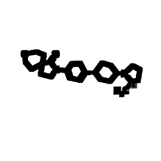 C[C@H]1CCCN1[C@H]1CC[C@H](c2ccc(N3CCC4(CCOCC4)C3=O)cc2)CC1